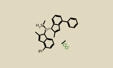 CC.C[SiH2][Zr+2]([CH]1C(C)=Cc2c(-c3ccccc3)cccc21)[CH]1C(C)=Cc2c(C(C)C)cccc21.[Cl-].[Cl-]